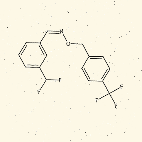 FC(F)c1cccc(/[C]=N\OCc2ccc(C(F)(F)F)cc2)c1